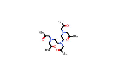 CC(C)(C)C(=O)CN(CCN(CC(=O)C(C)(C)C)CC(=O)C(C)(C)C)CCN(CC(=O)C(C)(C)C)CC(=O)C(C)(C)C